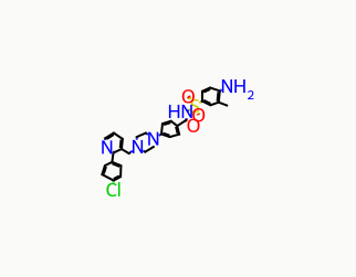 Cc1cc(S(=O)(=O)NC(=O)c2ccc(N3CCN(Cc4cccnc4-c4ccc(Cl)cc4)CC3)cc2)ccc1N